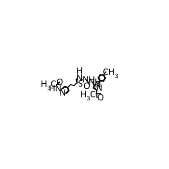 CC(=O)Nc1cc(CCC2=CNC(NC(=O)Nc3cc(C4(C)COC4)nn3-c3ccc(C)cc3)S2)ccn1